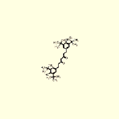 CC(C)(C)c1cc(CCC(=O)CC(=O)CCc2cc(C(C)(C)C)c(O)c(C(C)(C)C)c2)cc(C(C)(C)C)c1O